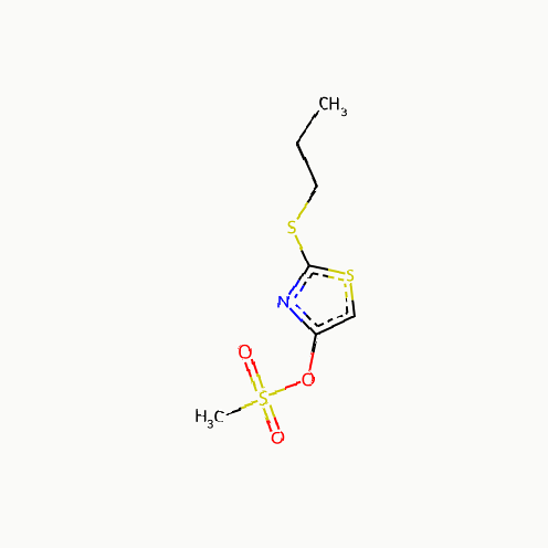 CCCSc1nc(OS(C)(=O)=O)cs1